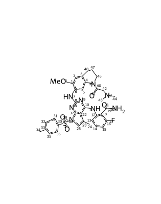 COc1cc2c(cc1Nc1nc(Nc3cccc(F)c3C(N)=O)c3c(C)cn(S(=O)(=O)c4ccc(C)cc4)c3n1)N(C(=O)CN(C)C)CCC2